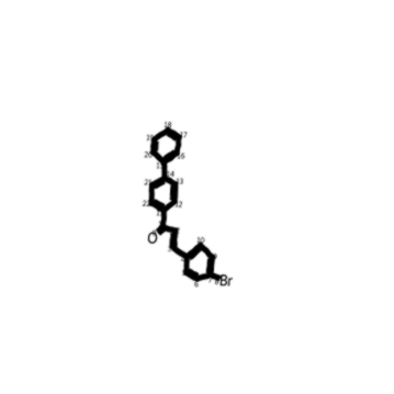 O=C(/C=C/c1ccc(Br)cc1)c1ccc(-c2ccccc2)cc1